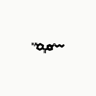 CCCCOc1ccc(NC2CCC(N)CC2)cc1